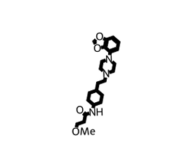 COCCC(=O)NC1CCC(CCN2CCN(c3cccc4c3OCO4)CC2)CC1